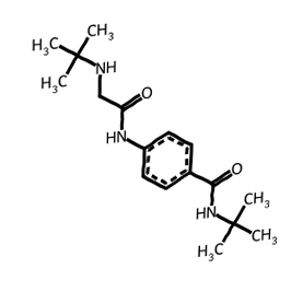 CC(C)(C)NCC(=O)Nc1ccc(C(=O)NC(C)(C)C)cc1